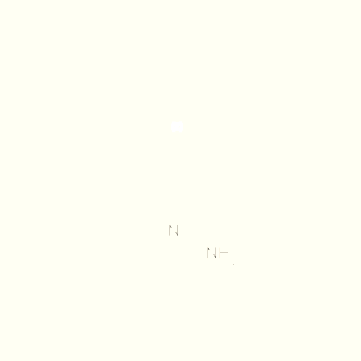 C=C/C=C(/C)CC1C=CC(N)=NC1